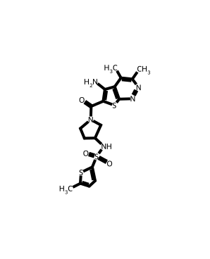 Cc1ccc(S(=O)(=O)NC2CCN(C(=O)c3sc4nnc(C)c(C)c4c3N)C2)s1